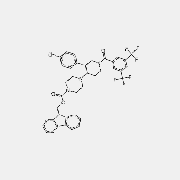 O=C(OCC1c2ccccc2-c2ccccc21)N1CCN(C2CCN(C(=O)c3cc(C(F)(F)F)cc(C(F)(F)F)c3)CC2c2ccc(Cl)cc2)CC1